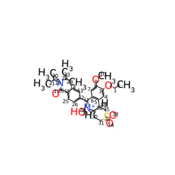 CCOc1cc2c(cc1OC)C(c1ccc(C(=O)N(C(C)C)C(C)C)cc1)=[N+](O)[C@@H]1CCS(=O)(=O)C[C@H]21